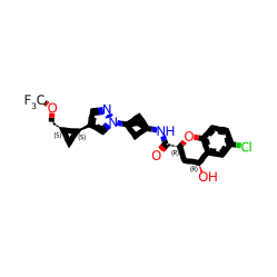 O=C(NC12CC(n3cc([C@H]4C[C@@H]4COC(F)(F)F)cn3)(C1)C2)[C@H]1C[C@@H](O)c2cc(Cl)ccc2O1